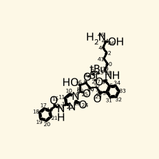 CC(C)(C)[Si](C)(C)OC1C(O)[C@H](n2ccc(NC(=O)c3ccccc3)nc2=O)O[C@@H]1CC(=O)c1ccccc1C(=O)NCCCCCC(N)O